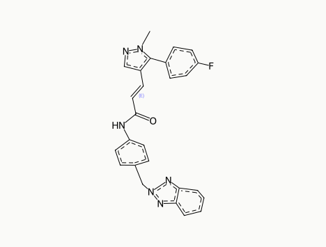 Cn1ncc(/C=C/C(=O)Nc2ccc(Cn3nc4ccccc4n3)cc2)c1-c1ccc(F)cc1